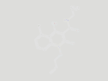 C=CCOn1c(=O)c(C(=O)NCC(=O)O)c(O)c2c(F)cccc21